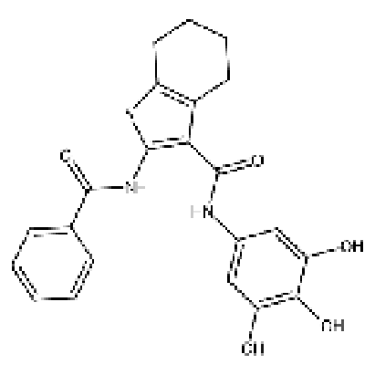 O=C(Nc1sc2c(c1C(=O)Nc1cc(O)c(O)c(O)c1)CCCC2)c1ccccc1